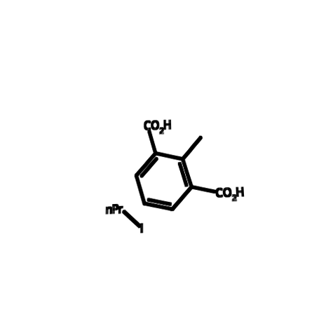 CCCI.Cc1c(C(=O)O)cccc1C(=O)O